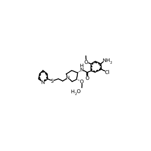 COc1cc(N)c(Cl)cc1C(=O)N[C@H]1CCN(CCSc2ccccn2)C[C@H]1OC.O